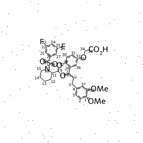 COc1ccc(CC[C@@H](OC(=O)C2CCCCN2S(=O)(=O)c2cc(F)cc(F)c2)c2cccc(OCC(=O)O)c2)cc1OC